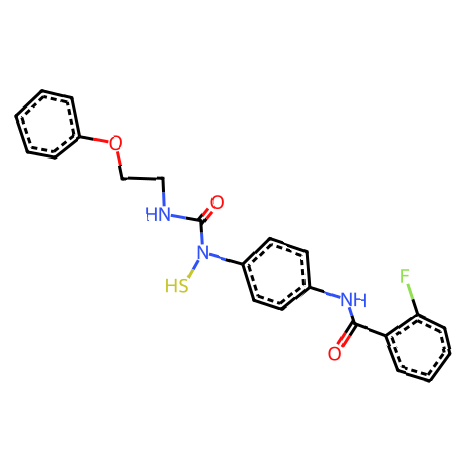 O=C(Nc1ccc(N(S)C(=O)NCCOc2ccccc2)cc1)c1ccccc1F